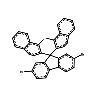 Brc1ccc2c(c1)C1(c3cc(Br)ccc3-2)c2ccc3ccccc3c2Oc2c1ccc1ccccc21